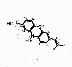 CCN1c2ccc(C=C(C)C)cc2Sc2ccc(S(=O)(=O)O)cc21